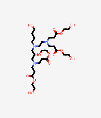 O=C(CCN(CCCN(CCCCO)CCN(CCC(=O)OCCO)CCC(=O)OCCO)CCC(=O)OCCO)OCCO